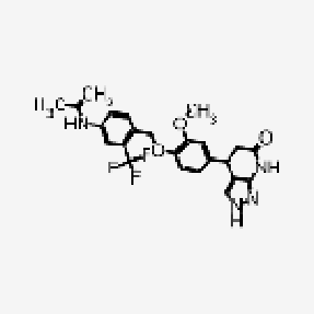 C=C(C)Nc1ccc(COc2ccc(C3CC(=O)Nc4n[nH]cc43)cc2OC)c(C(F)(F)F)c1